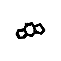 C1=Nc2ccccc2CN2CCCC12